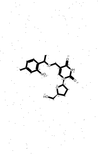 Cc1ccc(C(C)OCc2cn([C@H]3CC[C@@H](CO)O3)c(=O)[nH]c2=O)c([N+](=O)[O-])c1